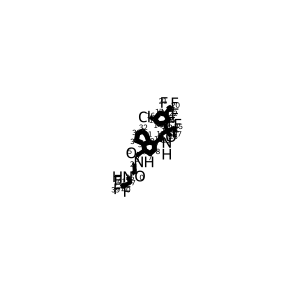 O=C(CNC(=O)c1ccc(C2=CC(c3cc(Cl)cc(C(F)(F)F)c3)(C(F)(F)F)ON2)c2ccccc12)NCC(F)(F)F